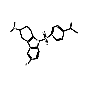 CC(C)c1ccc(S(=O)(=O)n2c3c(c4cc(Br)ccc42)CC(N(C)C)CC3)cc1